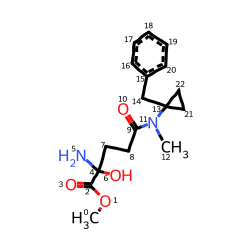 COC(=O)C(N)(O)CCC(=O)N(C)C1(Cc2ccccc2)CC1